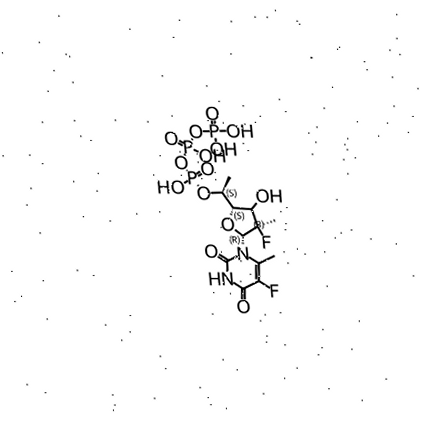 Cc1c(F)c(=O)[nH]c(=O)n1[C@@H]1O[C@H]([C@H](C)OP(=O)(O)OP(=O)(O)OP(=O)(O)O)C(O)[C@@]1(C)F